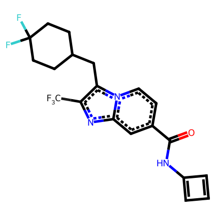 O=C(NC1=CC=C1)c1ccn2c(CC3CCC(F)(F)CC3)c(C(F)(F)F)nc2c1